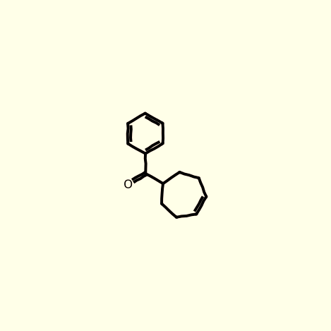 O=C(c1ccccc1)C1CCC=CCC1